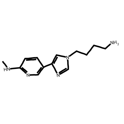 CNc1ccc(-c2cn(CCCCN)cn2)cn1